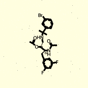 CC(=O)N[C@@H](Cc1cc(F)cc(F)c1)[C@@H](CNC(C)(C)c1cccc(Br)c1)OC(C)=O